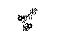 Cc1ccc2nc(N3CCS(=O)(=O)c4ccccc4C3)nc(NCCNC(=O)OC(C)(C)C)c2c1